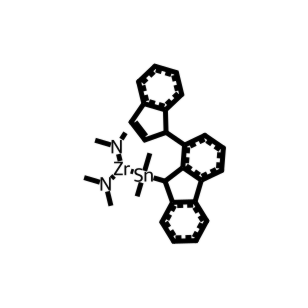 C[N](C)[Zr]([N](C)C)[Sn]([CH3])([CH3])[CH]1c2ccccc2-c2cccc(C3C=Cc4ccccc43)c21